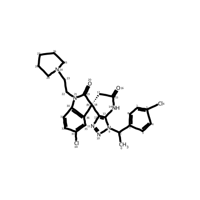 CC(c1ccc(Cl)cc1)n1nnc2c1NC(=O)C[C@]21C(=O)N(CCN2CCCCC2)c2ccc(Cl)cc21